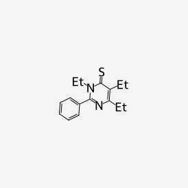 CCc1nc(-c2ccccc2)n(CC)c(=S)c1CC